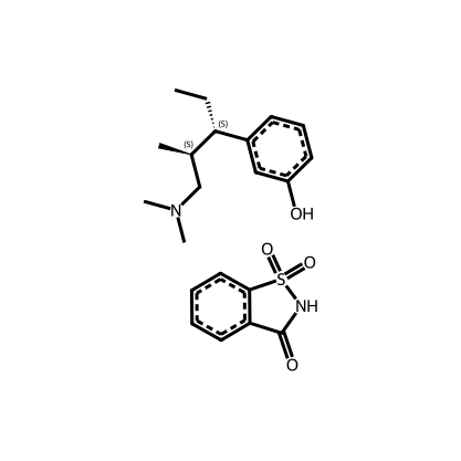 CC[C@H](c1cccc(O)c1)[C@H](C)CN(C)C.O=C1NS(=O)(=O)c2ccccc21